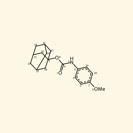 COc1ccc(NC(=O)OC23CC4CC(CC(C4)C2)C3)cc1